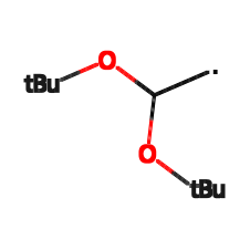 [CH2]C(OC(C)(C)C)OC(C)(C)C